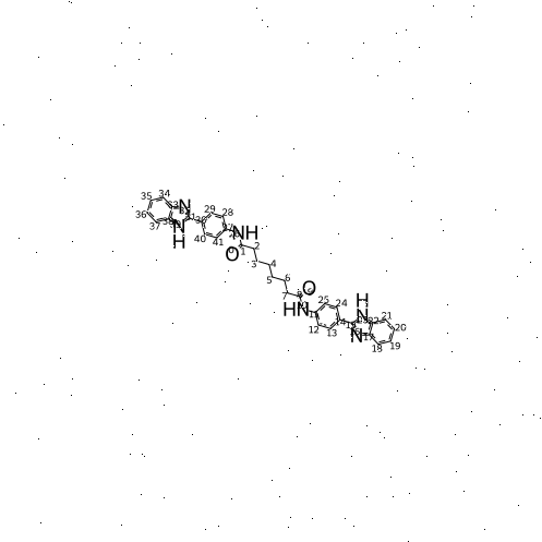 O=C(CCCCCCC(=O)Nc1ccc(-c2nc3ccccc3[nH]2)cc1)Nc1ccc(-c2nc3ccccc3[nH]2)cc1